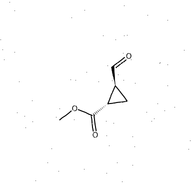 COC(=O)[C@H]1C[C@@H]1C=O